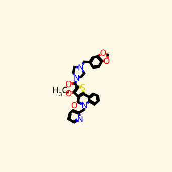 COc1c(C(=O)N2CCN(Cc3ccc4c(c3)OCO4)CC2)sc2c1c(=O)n(Cc1ccccn1)c1ccccc21